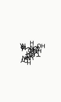 Cc1cc(C)n(CCC(=O)NC(CC(=O)O)C(=O)NC(CC(C)C)C(O)CC(C)C(=O)NC(C(=O)NCC(C)C)C(C)C)n1